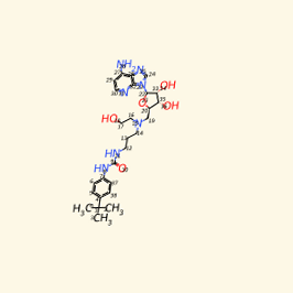 CC(C)(C)c1ccc(NC(=O)NCCCN(CCO)C[C@H]2O[C@@H](n3cnc4c(N)ccnc43)[C@H](O)[C@@H]2O)cc1